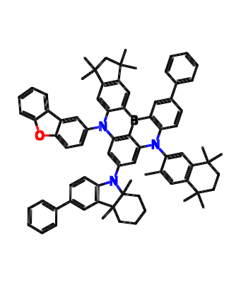 Cc1cc2c(cc1N1c3ccc(-c4ccccc4)cc3B3c4cc5c(cc4N(c4ccc6oc7ccccc7c6c4)c4cc(N6c7ccc(-c8ccccc8)cc7C7(C)CCCCC67C)cc1c43)C(C)(C)CC5(C)C)C(C)(C)CCC2(C)C